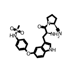 CS(=O)(=O)Nc1ccc(Oc2ccc3[nH]cc(C[C@H](N)C(=O)N4CCC[C@H]4C#N)c3c2)cc1